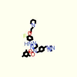 Cc1cc(C)c(OC(=O)N(Cc2ccc(Cn3cncn3)cc2)c2ccnc(Nc3ccc(OCCCN4CCCCC4)c(F)c3)n2)c(C)c1